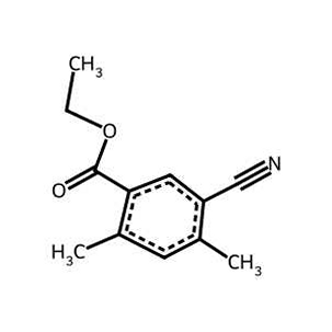 CCOC(=O)c1cc(C#N)c(C)cc1C